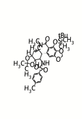 Cc1ccc(S(=O)(=O)N[C@H]2[C@@H]3OC(C)(C)O[C@@H]3C=C[C@@H]2c2cc3c(c(O[Si](C)(C)C(C)(C)C)c2C(=O)N(C)C)OCO3)cc1